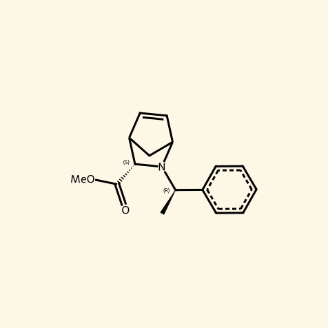 COC(=O)[C@@H]1C2C=CC(C2)N1[C@H](C)c1ccccc1